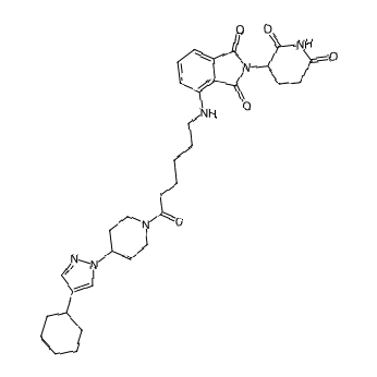 O=C1CCC(N2C(=O)c3cccc(NCCCCCC(=O)N4CCC(n5cc(C6CCCCC6)cn5)CC4)c3C2=O)C(=O)N1